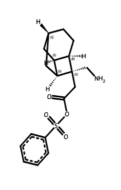 NC[C@@]1(CC(=O)OS(=O)(=O)c2ccccc2)[C@@H]2CC[C@H]3C[C@@H]2[C@@H]1C3